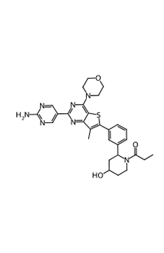 CCC(=O)N1CCC(O)CC1c1cccc(-c2sc3c(N4CCOCC4)nc(-c4cnc(N)nc4)nc3c2C)c1